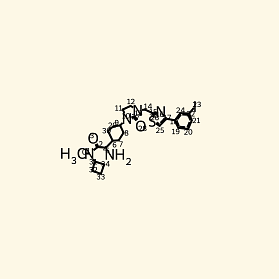 CN(C(=O)[C@@H](N)C1CCC(N2CCN(Cc3nc(-c4cccc(I)c4)cs3)C2=O)CC1)C1CCC1